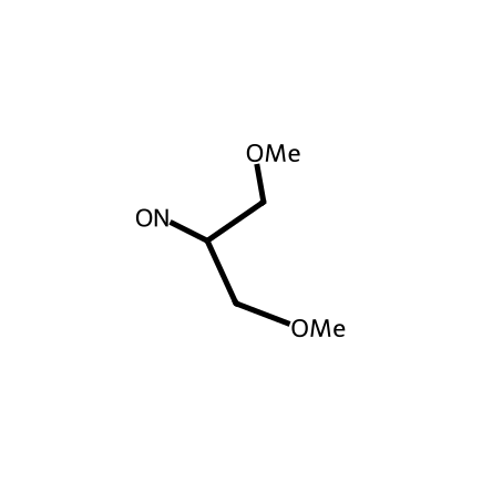 COCC(COC)N=O